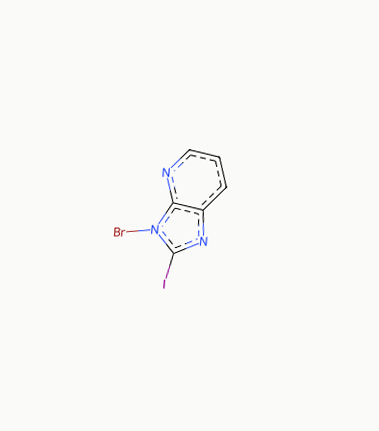 Brn1c(I)nc2cccnc21